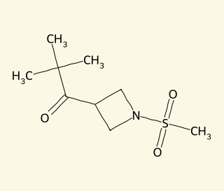 CC(C)(C)C(=O)C1CN(S(C)(=O)=O)C1